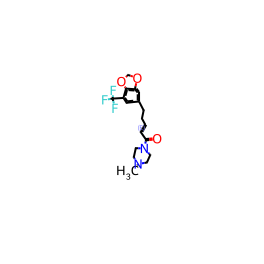 CN1CCN(C(=O)/C=C/CCc2cc3c(c(C(F)(F)F)c2)OCO3)CC1